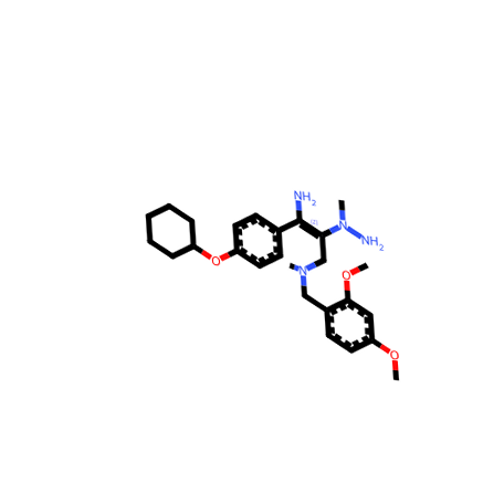 COc1ccc(CN(C)C/C(=C(/N)c2ccc(OC3CCCCC3)cc2)N(C)N)c(OC)c1